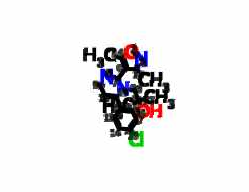 Cc1noc(C)c1C1N=CC=C(c2ccc(Cl)cc2)N1CC(C)(C)O